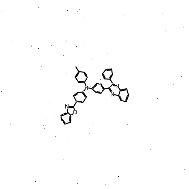 Cc1ccc(N(c2ccc(-c3nc4ccccc4o3)cc2)c2ccc(-c3nc4ccccc4nc3-c3ccccc3)cc2)cc1